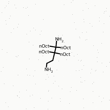 CCCCCCCCC(N)(CCCCCCCC)C(CCN)(CCCCCCCC)CCCCCCCC